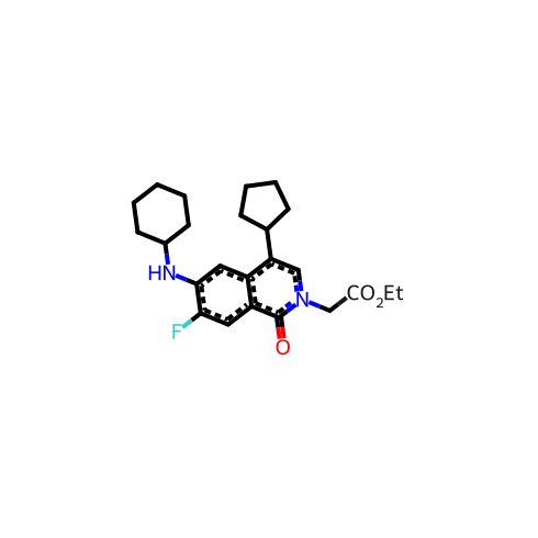 CCOC(=O)Cn1cc(C2CCCC2)c2cc(NC3CCCCC3)c(F)cc2c1=O